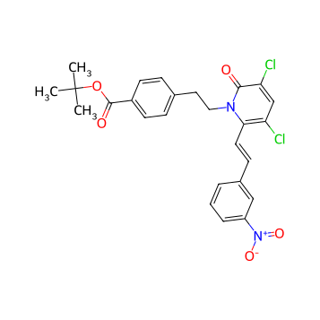 CC(C)(C)OC(=O)c1ccc(CCn2c(C=Cc3cccc([N+](=O)[O-])c3)c(Cl)cc(Cl)c2=O)cc1